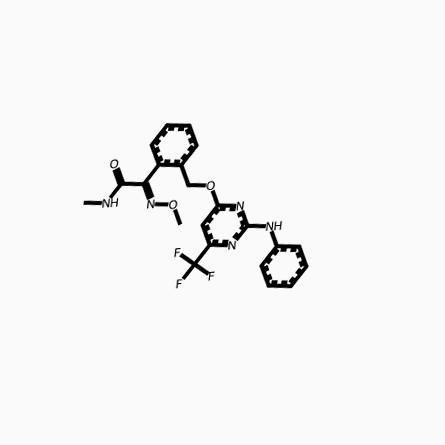 CNC(=O)/C(=N/OC)c1ccccc1COc1cc(C(F)(F)F)nc(Nc2ccccc2)n1